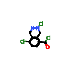 O=C(Cl)c1ccc(Cl)c2c1CN(Cl)N=C2